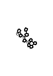 C1=CC2Oc3ccc(N(c4cccc(-c5ccccc5)c4)c4cccc(-n5c6cccc7c6c6c8c(cccc8ccc65)-c5ccccc5-7)c4)cc3C2C=C1